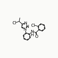 CC(Cl)c1cn(-c2ccccc2NC(=O)c2ccccc2Cl)nn1